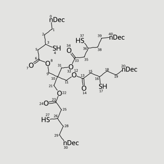 CCCCCCCCCCCCC(S)CC(=O)OCC(COC(=O)CC(S)CCCCCCCCCCCC)(COC(=O)CC(S)CCCCCCCCCCCC)COC(=O)CC(S)CCCCCCCCCCCC